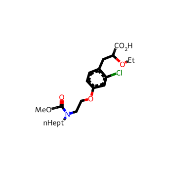 CCCCCCCN(CCOc1ccc(CC(OCC)C(=O)O)c(Cl)c1)C(=O)OC